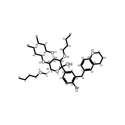 CCCCOC[C@H]1OC(O)(c2ccc(Br)c(Cc3ccc4c(c3)CCCO4)c2)C(OCCCC)[C@@H](OCCCC)C1OCCCC